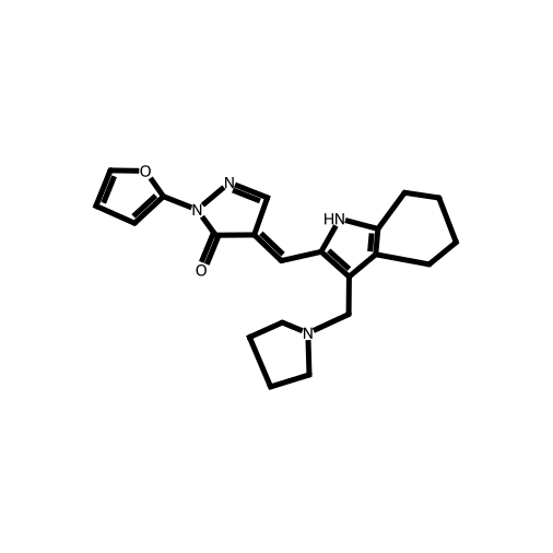 O=C1/C(=C/c2[nH]c3c(c2CN2CCCC2)CCCC3)C=NN1c1ccco1